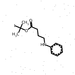 CC(C)(I)OC(=O)CCCNc1ccccc1